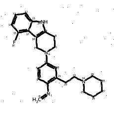 C=Nc1ccc(N2CCc3[nH]c4cccc(F)c4c3C2)cc1CCN1CCCCC1